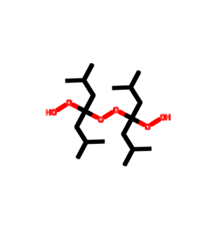 CC(C)CC(CC(C)C)(OO)OOC(CC(C)C)(CC(C)C)OO